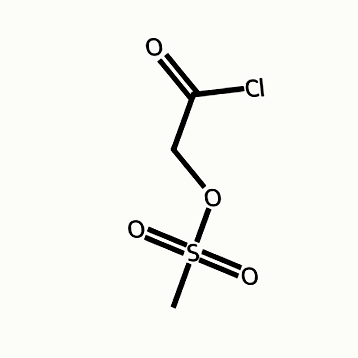 CS(=O)(=O)OCC(=O)Cl